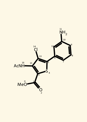 COC(=O)c1sc(-c2cccc(N)c2)c(Cl)c1NC(C)=O